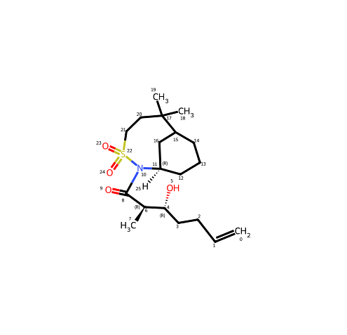 C=CCC[C@@H](O)[C@@H](C)C(=O)N1[C@@H]2CCCC(C2)C(C)(C)CCS1(=O)=O